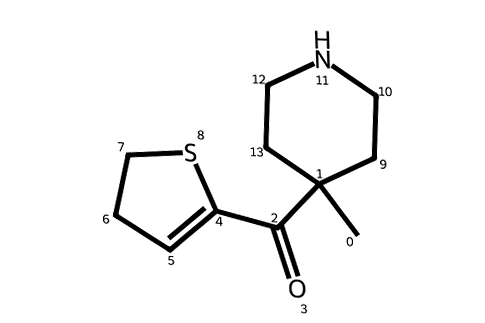 CC1(C(=O)C2=CCCS2)CCNCC1